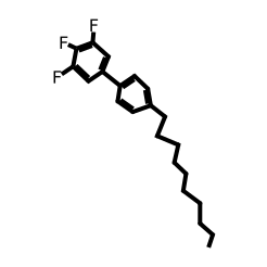 CCCCCCCCCCc1ccc(-c2cc(F)c(F)c(F)c2)cc1